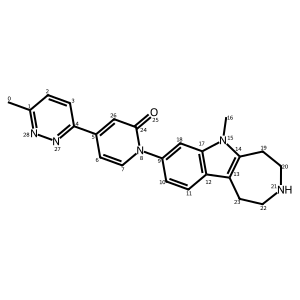 Cc1ccc(-c2ccn(-c3ccc4c5c(n(C)c4c3)CCNCC5)c(=O)c2)nn1